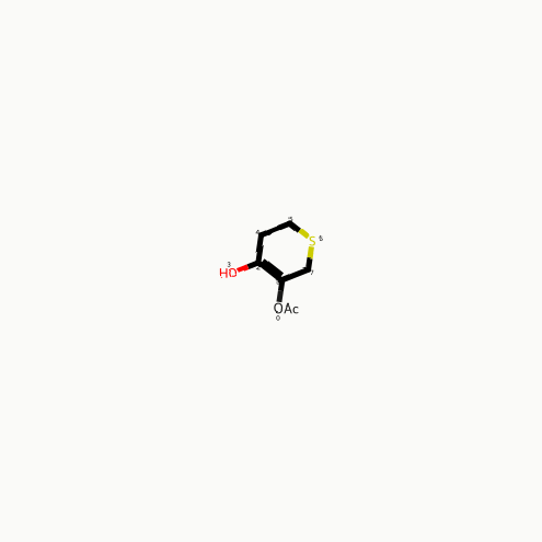 CC(=O)OC1=C(O)CCSC1